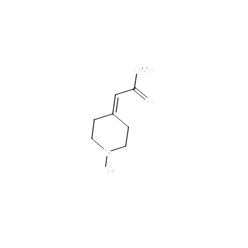 COC(=O)C=C1CCN(C=O)CC1